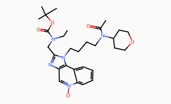 CCN(Cc1nc2c[n+]([O-])c3ccccc3c2n1CCCCN(C(C)=O)C1CCOCC1)C(=O)OC(C)(C)C